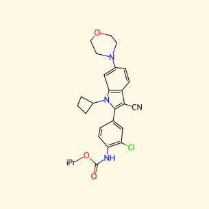 CC(C)OC(=O)Nc1ccc(-c2c(C#N)c3ccc(N4CCOCC4)cc3n2C2CCC2)cc1Cl